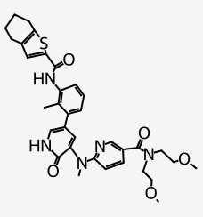 COCCN(CCOC)C(=O)c1ccc(N(C)c2cc(-c3cccc(NC(=O)c4cc5c(s4)CCCC5)c3C)c[nH]c2=O)nc1